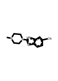 CN1CCN(c2nc3ccc(C#N)cc3[nH]2)CC1